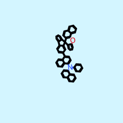 c1ccc(N(c2cccc3ccccc23)c2ccc(-c3ccc4c(c3)C3(c5ccccc5Oc5c3ccc3ccccc53)c3ccccc3-4)c3ccccc23)cc1